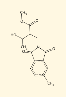 COC(=O)C(CN1C(=O)c2ccc(C)cc2C1=O)C(C)O